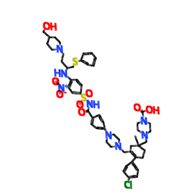 CC1(CN2CCN(C(=O)O)CC2)CCC(c2ccc(Cl)cc2)=C(CN2CCN(c3ccc(C(=O)NS(=O)(=O)c4ccc(NC(CCN5CCC(CO)CC5)CSc5ccccc5)c([N+](=O)[O-])c4)cc3)CC2)C1